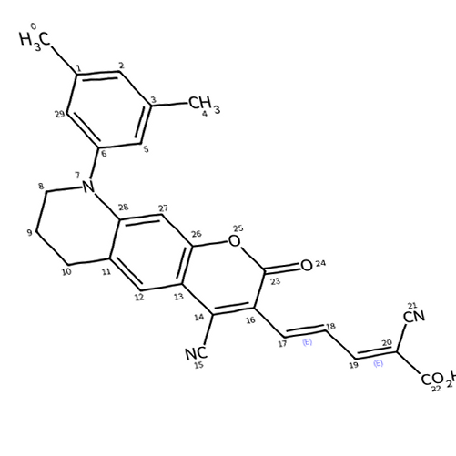 Cc1cc(C)cc(N2CCCc3cc4c(C#N)c(/C=C/C=C(\C#N)C(=O)O)c(=O)oc4cc32)c1